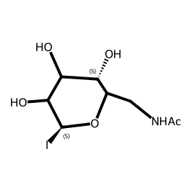 CC(=O)NCC1O[C@@H](I)C(O)C(O)[C@@H]1O